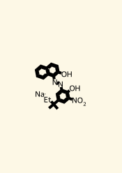 CCC(C)(C)c1cc(N=Nc2c(O)ccc3ccccc23)c(O)c([N+](=O)[O-])c1.[Na]